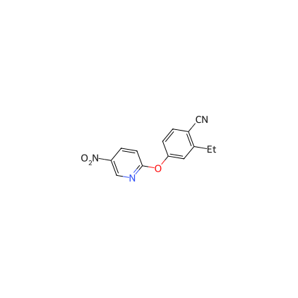 CCc1cc(Oc2ccc([N+](=O)[O-])cn2)ccc1C#N